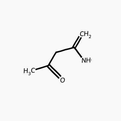 C=C([NH])CC(C)=O